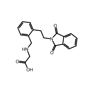 O=C(O)CNCc1ccccc1CCN1C(=O)c2ccccc2C1=O